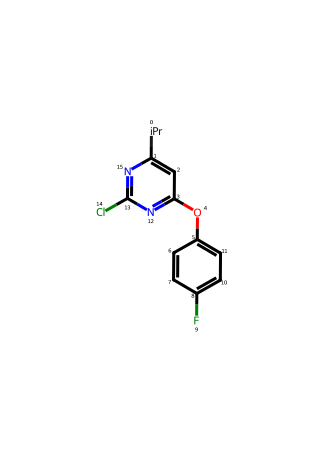 CC(C)c1cc(Oc2ccc(F)cc2)nc(Cl)n1